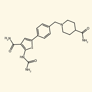 NC(=O)Nc1sc(-c2ccc(CN3CCC(C(N)=O)CC3)cc2)cc1C(N)=O